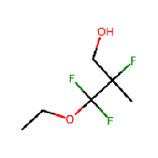 CCOC(F)(F)C(C)(F)CO